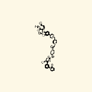 O=C1CCC(n2c(=O)oc3cc(C4CCN(CC5CCN(CC(=O)N6CCC(Nc7ncc(Cl)c(-c8cccc(-n9ccccc9=O)c8)n7)CC6)CC5)CC4)ccc32)C(=O)N1